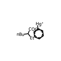 CCCCC(CC)C(=O)[O-].[Hg+][c]1ccccc1